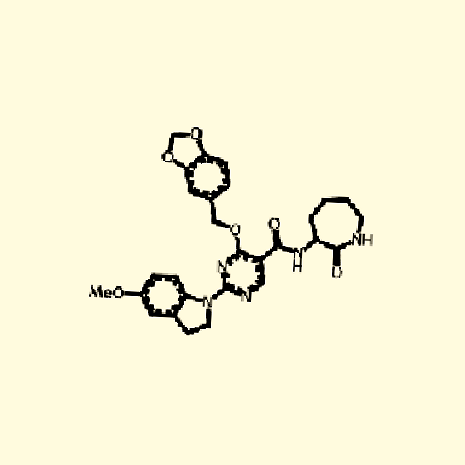 COc1ccc2c(c1)CCN2c1ncc(C(=O)NC2CCCCNC2=O)c(OCc2ccc3c(c2)OCO3)n1